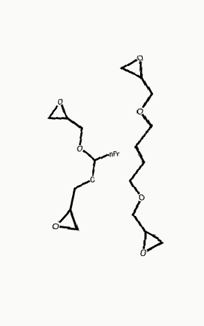 C(CCOCC1CO1)COCC1CO1.CCCC(OCC1CO1)OCC1CO1